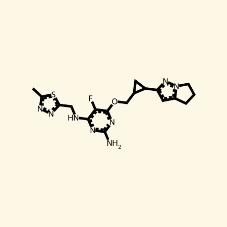 Cc1nnc(CNc2nc(N)nc(OCC3CC3c3cc4n(n3)CCC4)c2F)s1